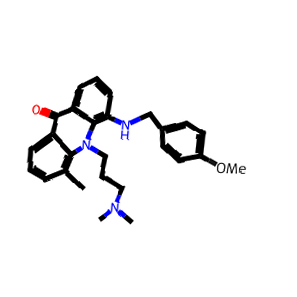 COc1ccc(CNc2cccc3c(=O)c4cccc(C)c4n(CCCN(C)C)c23)cc1